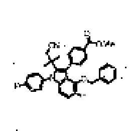 COC(=O)c1ccc(-c2c(C(C)(C)CC#N)n(-c3ccc(F)cc3)c3ccc(F)c(OCc4ccccc4)c23)cc1